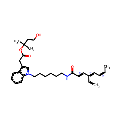 C=CC(/C=C/C(=O)NCCCCCCn1cc(CC(=O)OC(C)(C)CCO)c2ccccc21)=C\C=C/C